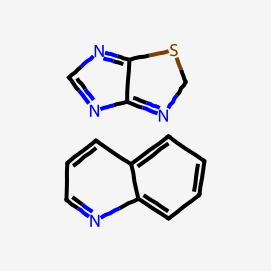 C1=NC2=NCSC2=N1.c1ccc2ncccc2c1